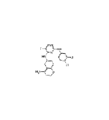 NC1=C2CC(Nc3nc(Nc4ccc(Cl)c(Cl)c4)ncc3F)=CC=C2OC=C1